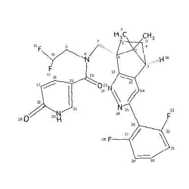 CC1(C)[C@H]2CC[C@]1(CN(CC(F)F)C(=O)c1ccc(=O)[nH]c1)c1nnc(-c3c(F)cccc3F)cc12